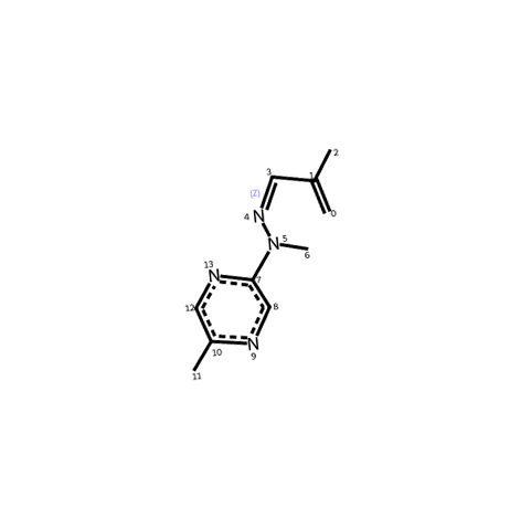 C=C(C)/C=N\N(C)c1cnc(C)cn1